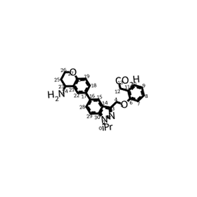 CC(C)n1nc(COc2ccccc2CC(=O)O)c2cc(-c3ccc4c(c3)C(N)CCO4)ccc21